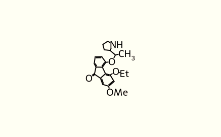 CCOc1cc(OC)cc2c1-c1c(OC(C)C3CCCN3)cccc1C2=O